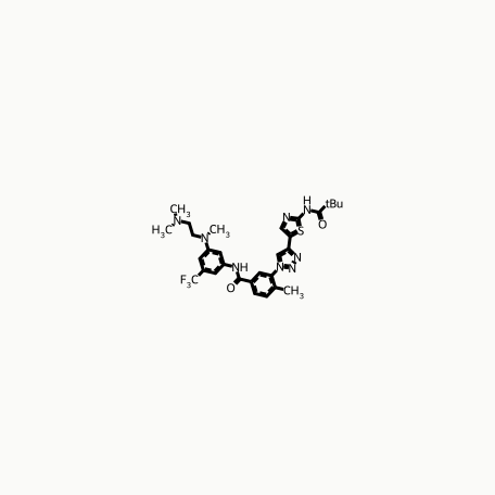 Cc1ccc(C(=O)Nc2cc(N(C)CCN(C)C)cc(C(F)(F)F)c2)cc1-n1cc(-c2cnc(NC(=O)C(C)(C)C)s2)nn1